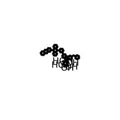 Oc1c(O)c(O)c(-n2c3ccc(-c4cccc(-c5c6ccccc6c(-c6ccc7cc8ccccc8cc7c6)c6ccccc56)c4)cc3c3cc(Cc4ccccc4)cnc32)c(O)c1O